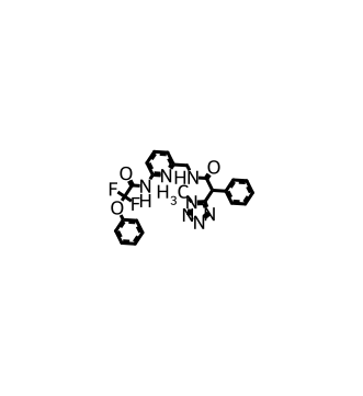 Cn1nnnc1C(C(=O)NCc1cccc(NC(=O)C(F)(F)Oc2ccccc2)n1)c1ccccc1